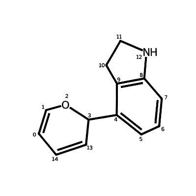 C1=COC(c2cccc3c2CCN3)C=C1